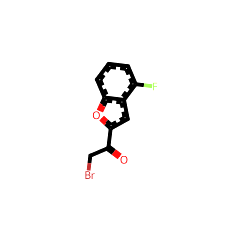 O=C(CBr)c1cc2c(F)cccc2o1